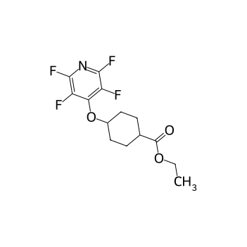 CCOC(=O)C1CCC(Oc2c(F)c(F)nc(F)c2F)CC1